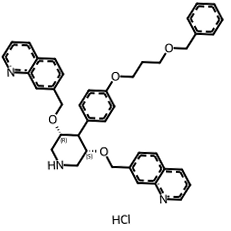 Cl.c1ccc(COCCCOc2ccc(C3[C@@H](OCc4ccc5cccnc5c4)CNC[C@H]3OCc3ccc4cccnc4c3)cc2)cc1